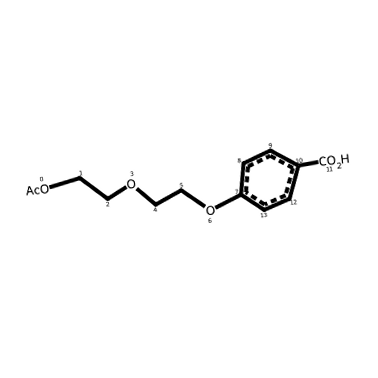 CC(=O)OCCOCCOc1ccc(C(=O)O)cc1